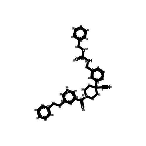 N#CC1(c2cccc(CNC(=O)OCc3ccccc3)c2)CCN(C(=O)c2cncc(CCc3ccccc3)c2)CC1